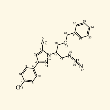 CC(=O)c1cc(-c2ccc(Cl)cc2)nn1C(CN=[N+]=[N-])COCc1ccccc1